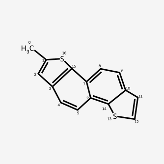 Cc1cc2ccc3c(ccc4ccsc43)c2s1